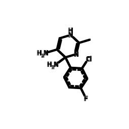 CC1=NC(N)(c2ccc(F)cc2Cl)C(N)=CN1